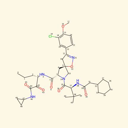 CCC[C@H](NC(=O)[C@@H]1C[C@]2(CC(c3ccc(OC)c(Cl)c3)=NO2)CN1C(=O)[C@@H](NC(=O)CC1CCCCC1)C(C)(C)C)C(=O)C(=O)NC1CC1